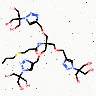 CCCSCCC(=O)NC(COCc1cn(C(CO)(CO)CO)nn1)(COCc1cn(C(CO)(CO)CO)nn1)COCc1cn(C(CO)(CO)CO)nn1